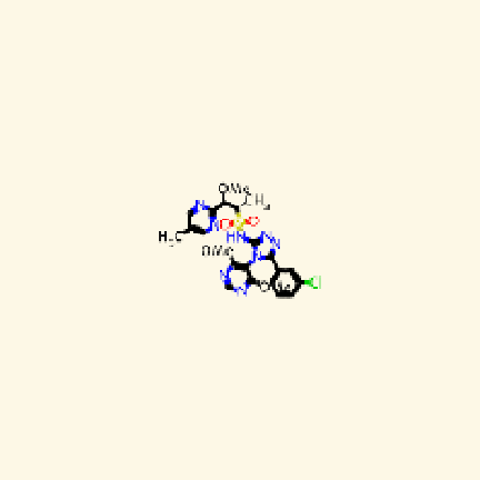 COc1ncnc(OC)c1-n1c(NS(=O)(=O)[C@@H](C)[C@H](OC)c2ncc(C)cn2)nnc1-c1cccc(Cl)c1